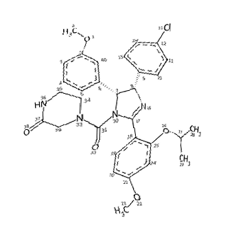 COc1cccc([C@@H]2[C@H](c3ccc(Cl)cc3)N=C(c3ccc(OC)cc3OC(C)C)N2C(=O)N2CCNC(=O)C2)c1